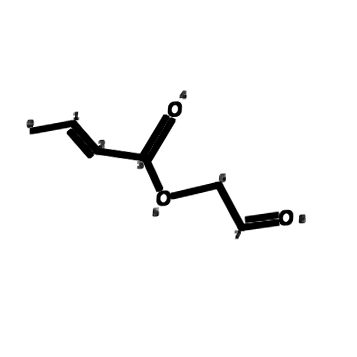 CC=CC(=O)OCC=O